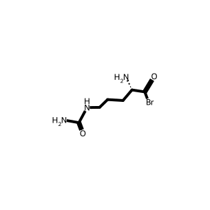 NC(=O)NCCC[C@H](N)C(=O)Br